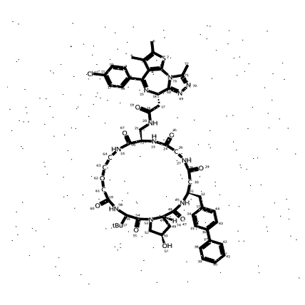 Cc1sc2c(c1C)C(c1ccc(Cl)cc1)=N[C@@H](CC(=O)NC[C@H]1NC(=O)CNC(=O)C[C@@H](Cc3ccc(-c4ccccc4)cc3)NC(=O)[C@@H]3C[C@@H](O)CN3C(=O)C(C(C)(C)C)NC(=O)COCCNC1=O)c1nnc(C)n1-2